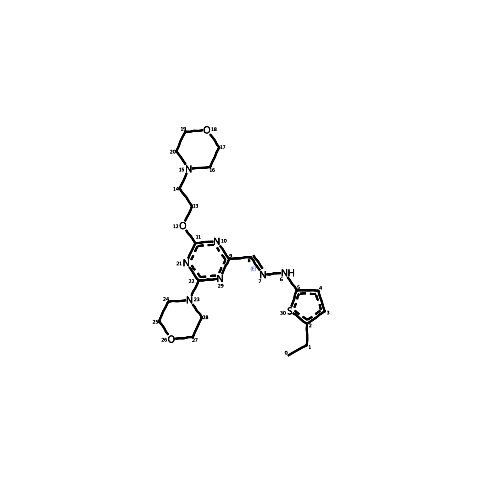 CCc1ccc(N/N=C/c2nc(OCCN3CCOCC3)nc(N3CCOCC3)n2)s1